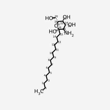 CCCCCCCCCCCCCCCC[C@@]1(O)O[C@H](CO)[C@@H](O)[C@H](O)[C@H]1N